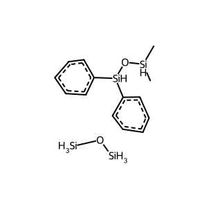 C[SiH](C)O[SiH](c1ccccc1)c1ccccc1.[SiH3]O[SiH3]